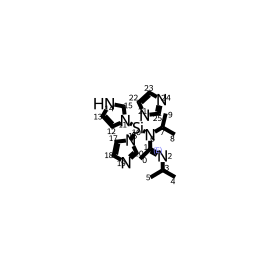 C/C(=N\C(C)C)N(C(C)C)[Si](N1C=CNC1)(n1ccnc1)n1ccnc1